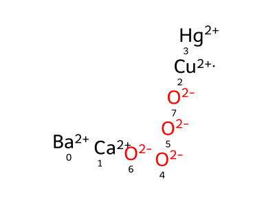 [Ba+2].[Ca+2].[Cu+2].[Hg+2].[O-2].[O-2].[O-2].[O-2]